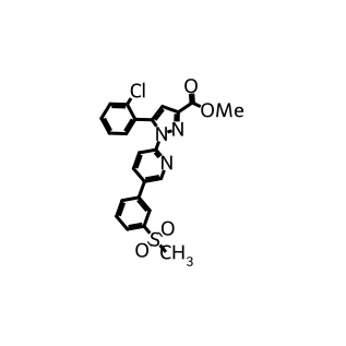 COC(=O)c1cc(-c2ccccc2Cl)n(-c2ccc(-c3cccc(S(C)(=O)=O)c3)cn2)n1